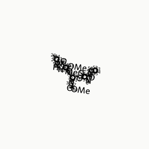 C=Nc1cc(OCc2cc(COc3cc4c(cc3OC)C(=O)N3c5ccc(C)cc5C[C@H]3C=N4)cc(N(C)CC(=O)OC)c2)c(OC)cc1C(=O)N1CCc2ccccc21